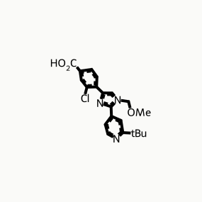 COCn1cc(-c2ccc(C(=O)O)cc2Cl)nc1-c1ccnc(C(C)(C)C)c1